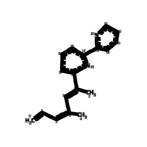 C=C/C=C(C)\C=C(/C)c1cccc(-c2ccccn2)n1